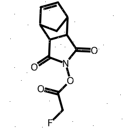 O=C(CF)ON1C(=O)C2C3C=CC(C3)C2C1=O